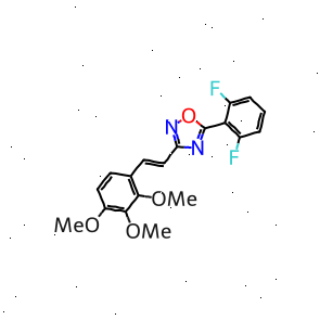 COc1ccc(C=Cc2noc(-c3c(F)cccc3F)n2)c(OC)c1OC